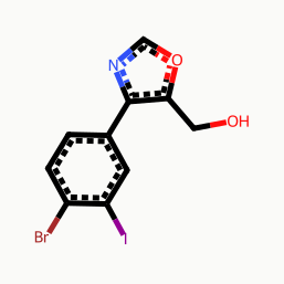 OCc1ocnc1-c1ccc(Br)c(I)c1